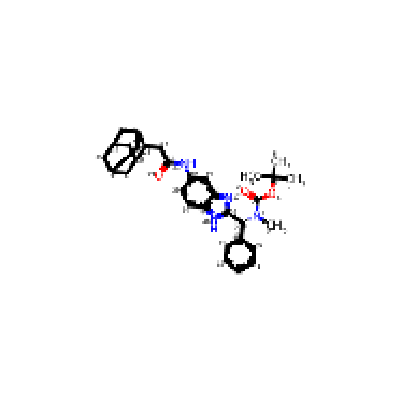 CN(C(=O)OC(C)(C)C)[C@H](c1ccccc1)c1nc2cc(NC(=O)CC3C4CC5CC(C4)CC3C5)ccc2[nH]1